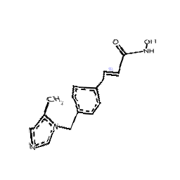 Cc1cncn1Cc1ccc(/C=C/C(=O)NO)cc1